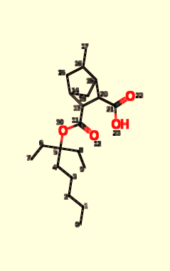 CCCCCC(CC)(CC)OC(=O)C1C2CC(C)C(C2)C1C(=O)O